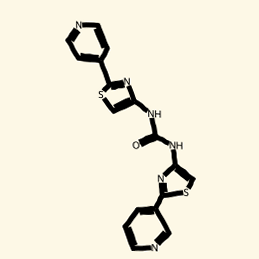 O=C(Nc1csc(-c2ccncc2)n1)Nc1csc(-c2cccnc2)n1